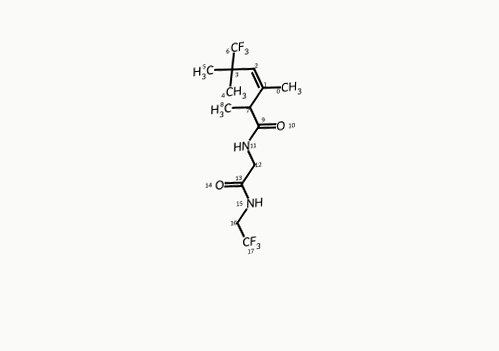 C/C(=C/C(C)(C)C(F)(F)F)C(C)C(=O)NCC(=O)NCC(F)(F)F